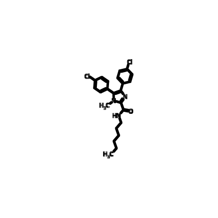 CCCCCCNC(=O)c1nc(-c2ccc(Cl)cc2)c(-c2ccc(Cl)cc2)n1C